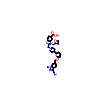 Cn1nc(C#N)c2ccc(COc3cccc(C4CCN(Cc5nc6c(n5C[C@@H]5CCO5)CC(C(=O)O)C=C6)CC4)n3)cc21